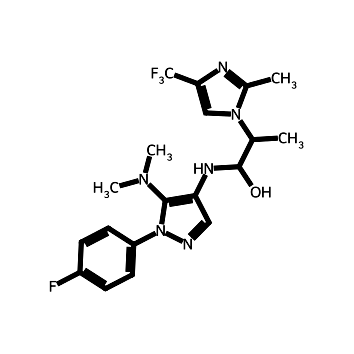 Cc1nc(C(F)(F)F)cn1C(C)C(O)Nc1cnn(-c2ccc(F)cc2)c1N(C)C